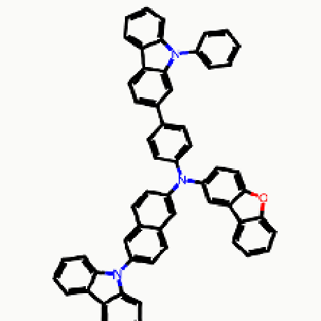 c1ccc(-n2c3ccccc3c3ccc(-c4ccc(N(c5ccc6cc(-n7c8ccccc8c8ccccc87)ccc6c5)c5ccc6oc7ccccc7c6c5)cc4)cc32)cc1